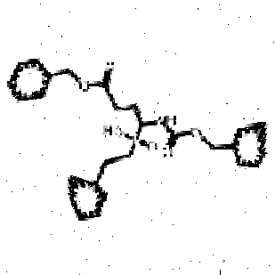 O=C(CCC(NC(=O)OCc1ccccc1)P(=O)(O)CCc1ccccc1)OCc1ccccc1